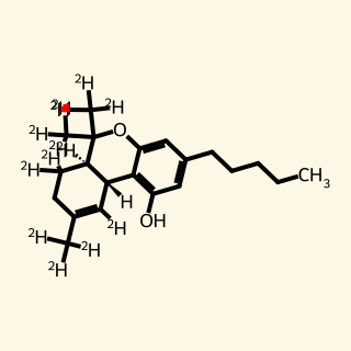 [2H]C1=C(C([2H])([2H])[2H])CC([2H])([2H])[C@]2([2H])[C@@H]1c1c(O)cc(CCCCC)cc1OC2(C([2H])([2H])[2H])C([2H])([2H])[2H]